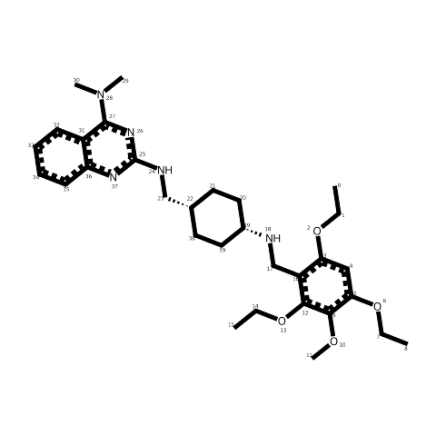 CCOc1cc(OCC)c(OC)c(OCC)c1CN[C@H]1CC[C@@H](CNc2nc(N(C)C)c3ccccc3n2)CC1